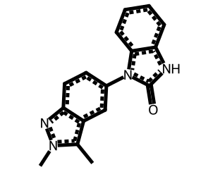 Cc1c2cc(-n3c(=O)[nH]c4ccccc43)ccc2nn1C